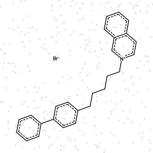 [Br-].c1ccc(-c2ccc(CCCCC[n+]3ccc4ccccc4c3)cc2)cc1